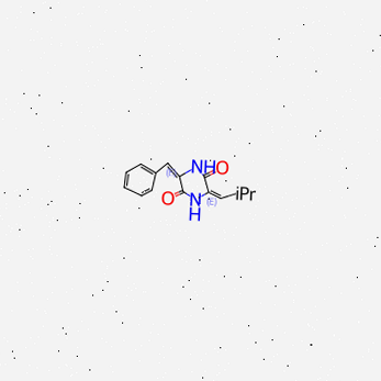 CC(C)/C=c1/[nH]c(=O)/c(=C\c2ccccc2)[nH]c1=O